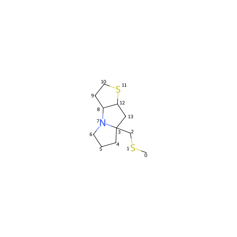 CSCC12CCCN1C1CCSC1C2